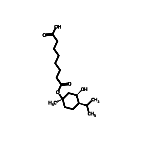 CC(C)[C@H]1CC[C@@](C)(OC(=O)CCCCCCC(=O)O)C[C@@H]1O